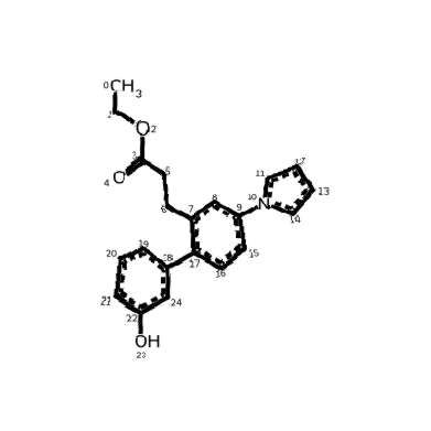 CCOC(=O)CCc1cc(-n2cccc2)ccc1-c1cccc(O)c1